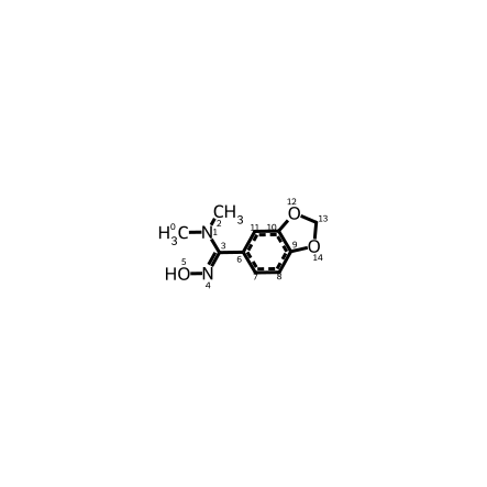 CN(C)C(=NO)c1ccc2c(c1)OCO2